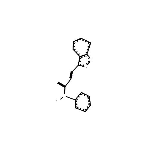 CCCN(C(=O)/C=C/c1n[nH]c2ccccc12)c1ccccc1